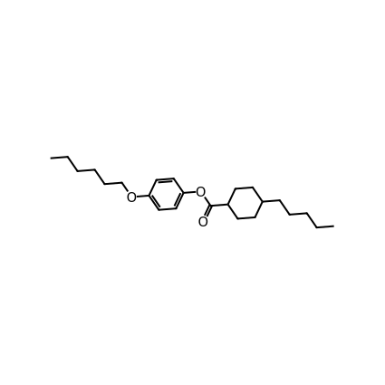 CCCCCCOc1ccc(OC(=O)C2CCC(CCCCC)CC2)cc1